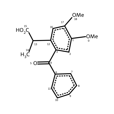 COc1cc(C(=O)c2ccccc2)c(C(C)C(=O)O)cc1OC